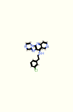 Clc1cccc(CCNc2c3cnccc3nc3c2nc2cnccn23)c1